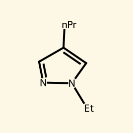 CCCc1cnn(CC)c1